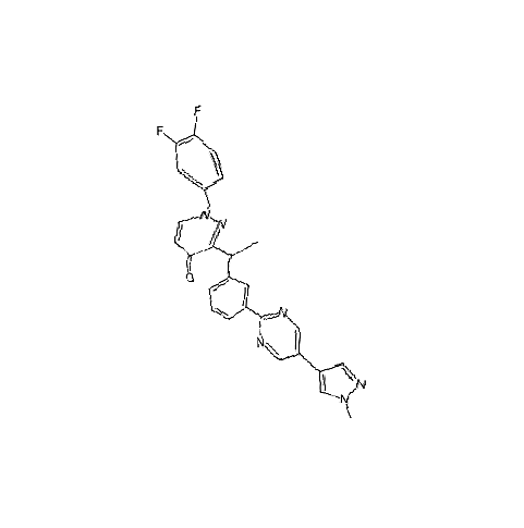 CC(c1cccc(-c2ncc(-c3cnn(C)c3)cn2)c1)c1nn(-c2ccc(F)c(F)c2)ccc1=O